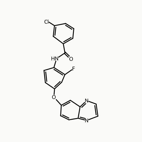 O=C(Nc1ccc(Oc2ccc3nccnc3c2)cc1F)c1cccc(Cl)c1